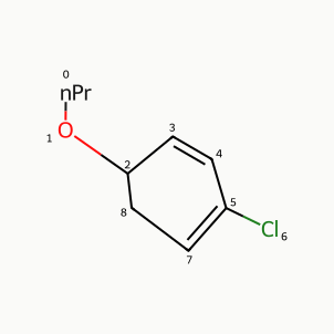 CCCOC1C=CC(Cl)=CC1